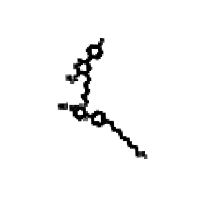 CCCCCCCCc1ccc([C@H]2CCN[C@@H]2COCCCc2cc(-c3ccc(F)cc3)nnc2C)cc1.Cl